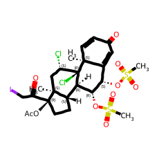 CC(=O)O[C@]1(C(=O)CI)CC[C@H]2[C@@H]3[C@@H](OS(C)(=O)=O)[C@@H](OS(C)(=O)=O)C4=CC(=O)C=C[C@]4(C)[C@@]3(Cl)[C@@H](Cl)C[C@@]21C